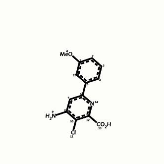 COc1cccc(-c2cc(N)c(Cl)c(C(=O)O)n2)c1